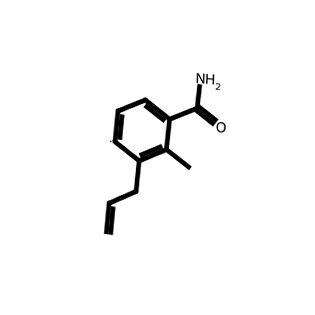 C=CCc1[c]ccc(C(N)=O)c1C